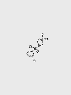 CCC(=O)N1CCN(S(=O)(=O)c2cccc(C(C)C)c2)CC1